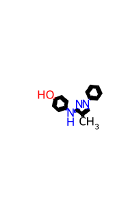 Cc1cn(-c2ccccc2)nc1Nc1ccc(O)cc1